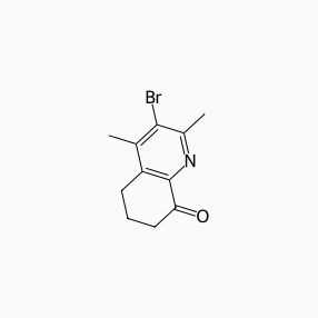 Cc1nc2c(c(C)c1Br)CCCC2=O